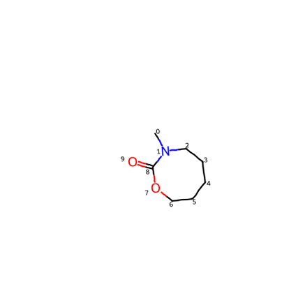 CN1CCCCCOC1=O